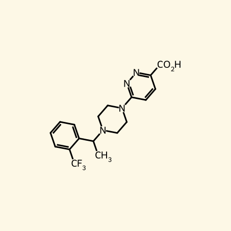 CC(c1ccccc1C(F)(F)F)N1CCN(c2ccc(C(=O)O)nn2)CC1